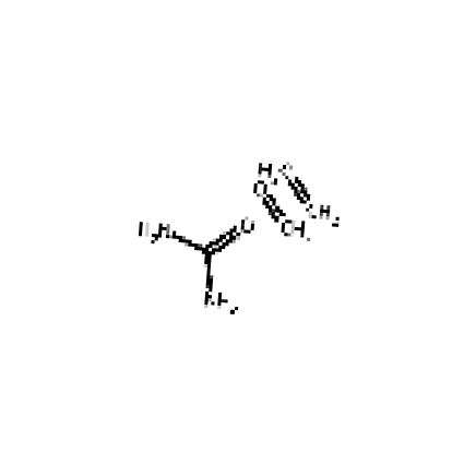 C=C.C=O.NC(N)=O